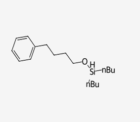 CCCC[SiH](CCCC)OCCCCc1ccccc1